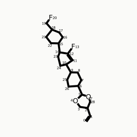 C=CC1COC(C2CCC(C3C=C(F)C(C4CCC(CF)CC4)CC3)CC2)OC1